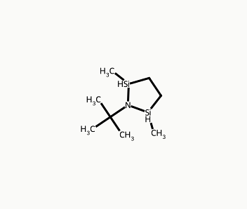 C[SiH]1CC[SiH](C)N1C(C)(C)C